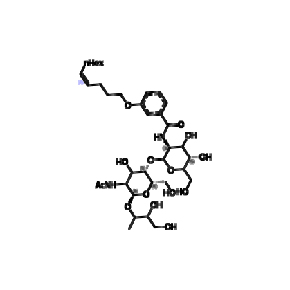 CCCCCC/C=C\CCCOc1cccc(C(=O)N[C@@H]2C(O[C@H]3C(O)C(NC(C)=O)[C@H](OC(C)C(O)CO)O[C@H]3CO)OC(CO)[C@@H](O)C2O)c1